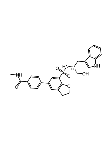 CNC(=O)c1ccc(-c2cc3c(c(S(=O)(=O)N[C@@H](CO)Cc4c[nH]c5ccccc45)c2)OCC3)cc1